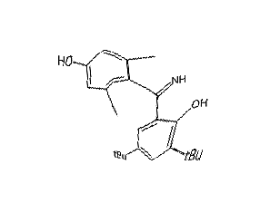 Cc1cc(O)cc(C)c1C(=N)c1cc(C(C)(C)C)cc(C(C)(C)C)c1O